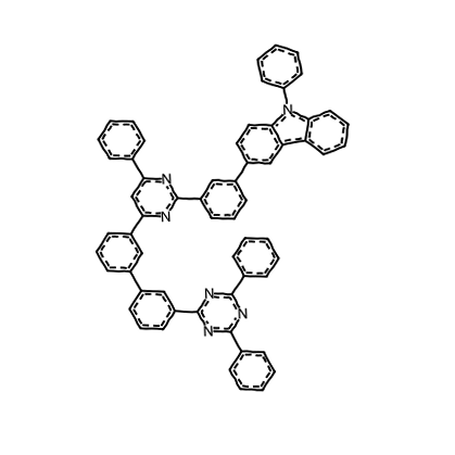 c1ccc(-c2cc(-c3cccc(-c4cccc(-c5nc(-c6ccccc6)nc(-c6ccccc6)n5)c4)c3)nc(-c3cccc(-c4ccc5c(c4)c4ccccc4n5-c4ccccc4)c3)n2)cc1